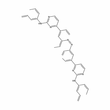 C=C/C=C(\C=C/C)Nc1nccc(/C(C=C)=C/C(=C\C)/N=N\C(C=C)=C\C(=C/C)c2ccnc(NC(/C=C\C)=C/C=C)n2)n1